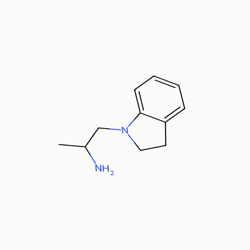 CC(N)CN1CCc2ccccc21